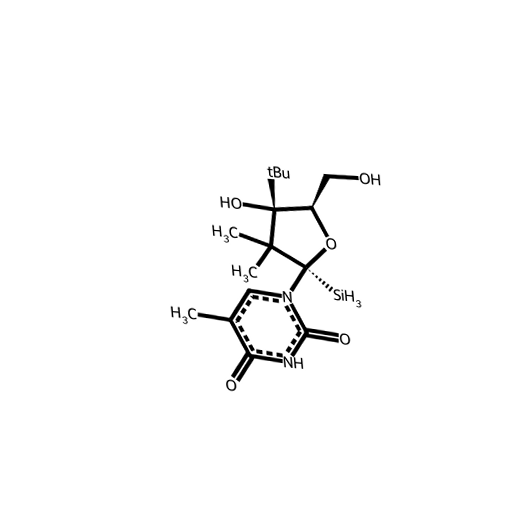 Cc1cn([C@]2([SiH3])O[C@H](CO)[C@](O)(C(C)(C)C)C2(C)C)c(=O)[nH]c1=O